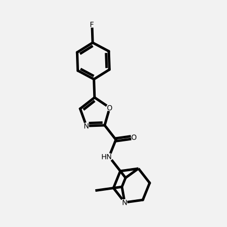 CC1C(NC(=O)c2ncc(-c3ccc(F)cc3)o2)C2CCN1CC2